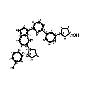 O[C@H]1CCN(c2cc(-c3cccc(-c4cnc5ccc(N6CCC[C@@H]6c6cccc(F)c6)nn45)n3)ccn2)C1